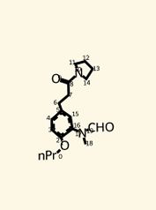 CCCOc1ccc(CCC(=O)N2CCCC2)cc1N(C)C=O